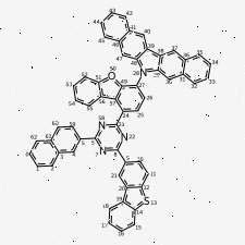 c1ccc2cc(-c3nc(-c4ccc5sc6ccccc6c5c4)nc(-c4ccc(-n5c6cc7ccccc7cc6c6cc7ccccc7cc65)c5oc6ccccc6c45)n3)ccc2c1